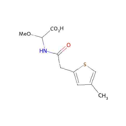 COC(NC(=O)Cc1cc(C)cs1)C(=O)O